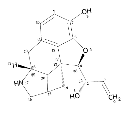 C=C[C@H](O)[C@@H]1Oc2c(O)ccc3c2[C@@]12CC1CN[C@H](C3)C12